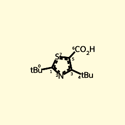 CC(C)(C)c1nc(C(C)(C)C)c(C(=O)O)s1